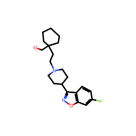 [O]CC1(CCN2CCC(c3noc4cc(F)ccc34)CC2)CCCCC1